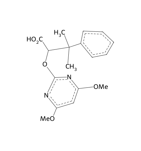 COc1cc(OC)nc(OC(C(=O)O)C(C)(C)c2ccccc2)n1